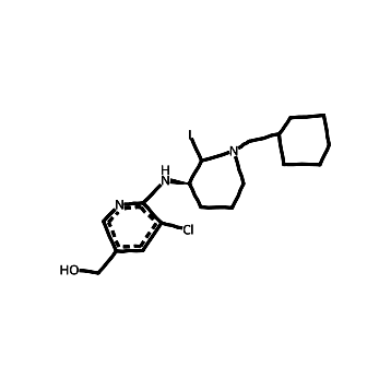 OCc1cnc(N[C@@H]2CCCN(CC3CCCCC3)C2I)c(Cl)c1